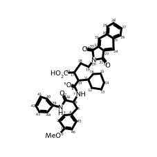 COc1ccc(CC(NC(=O)C(C2CCCCC2)C(CCN2C(=O)c3cc4ccccc4cc3C2=O)C(=O)O)C(=O)Nc2ccccc2)cc1